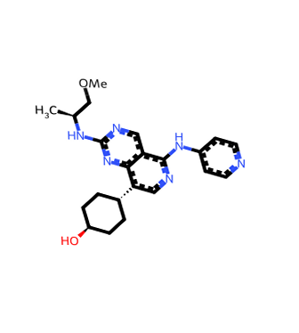 COC[C@H](C)Nc1ncc2c(Nc3ccncc3)ncc([C@H]3CC[C@H](O)CC3)c2n1